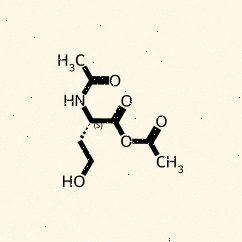 CC(=O)N[C@@H](CCO)C(=O)OC(C)=O